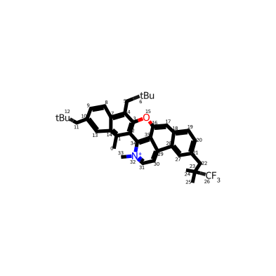 Cc1c2c(c(CC(C)(C)C)c3ccc(CC(C)(C)C)cc13)Oc1cc3ccc(CC(C)(C)C(F)(F)F)cc3c3cc[n+](C)c-2c13